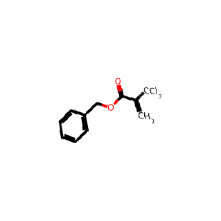 C=C(C(=O)OCc1ccccc1)C(Cl)(Cl)Cl